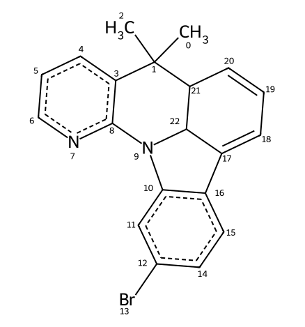 CC1(C)c2cccnc2N2c3cc(Br)ccc3C3=CC=CC1C32